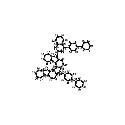 c1ccc(-c2ccc(-c3nc(-n4c5ccccc5c5c6c7c8oc9ccccc9c8ccc7n(-c7ccc(-c8ccccc8)cc7)c6ccc54)nc4ccccc34)cc2)cc1